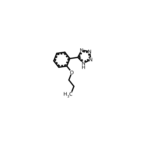 CCCOc1ccccc1-c1nnn[nH]1